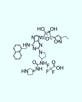 CCc1cc([C@H]2O[C@@H](n3cnc4c(NCc5cccc6ccccc56)nc(N5CCC(NC(=O)N[C@@H]6CCNC6)C5)nc43)[C@@H](O)[C@H]2O)on1.O=C(O)C(F)(F)F